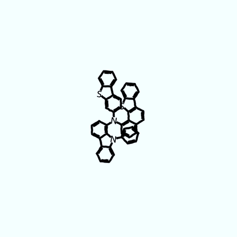 c1ccc(-n2c3ccccc3c3cccc(N(c4ccc5c(c4)sc4ccccc45)c4cccc5ccc6c7ccccc7sc6c45)c32)cc1